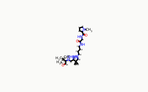 CN1CCCC1C(=O)NCC(=O)NCCCCNCC1(C(N)CN(N)C(C=O)C(C)(C)C)CC1